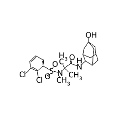 CN(C(C)(C)C(=O)NC1C2CC3CC1CC(O)(C3)C2)S(=O)(=O)c1cccc(Cl)c1Cl